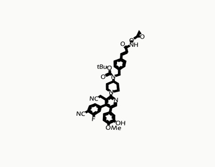 COc1ccc(-c2cnc(N3CCC(N(Cc4ccc(/C=C/C(=O)NOC5CO5)cc4)C(=O)OC(C)(C)C)CC3)c(CC#N)c2-c2ccc(C#N)c(F)c2)cc1O